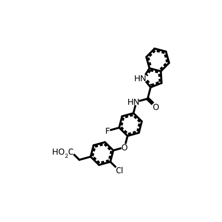 O=C(O)Cc1ccc(Oc2ccc(NC(=O)c3cc4ccccc4[nH]3)cc2F)c(Cl)c1